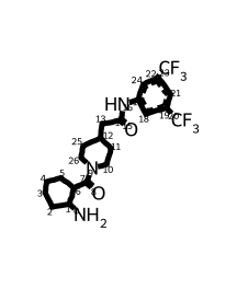 NC1CCCCC1C(=O)N1CCC(CC(=O)Nc2cc(C(F)(F)F)cc(C(F)(F)F)c2)CC1